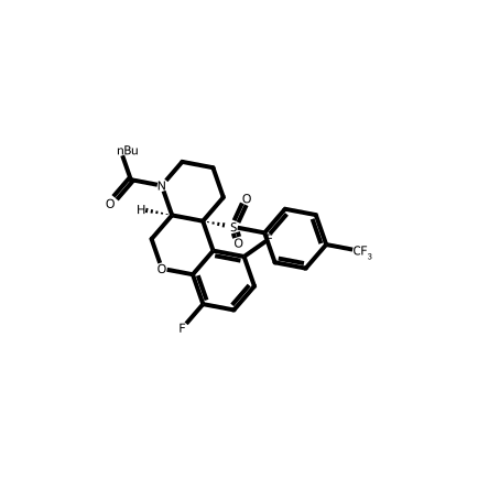 CCCCC(=O)N1CCC[C@@]2(S(=O)(=O)c3ccc(C(F)(F)F)cc3)c3c(F)ccc(F)c3OC[C@@H]12